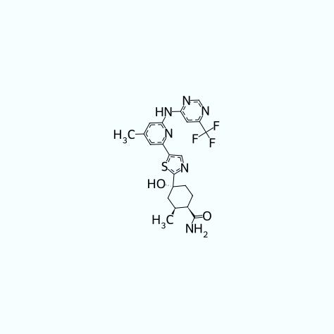 Cc1cc(Nc2cc(C(F)(F)F)ncn2)nc(-c2cnc([C@@]3(O)CC[C@@H](C(N)=O)[C@@H](C)C3)s2)c1